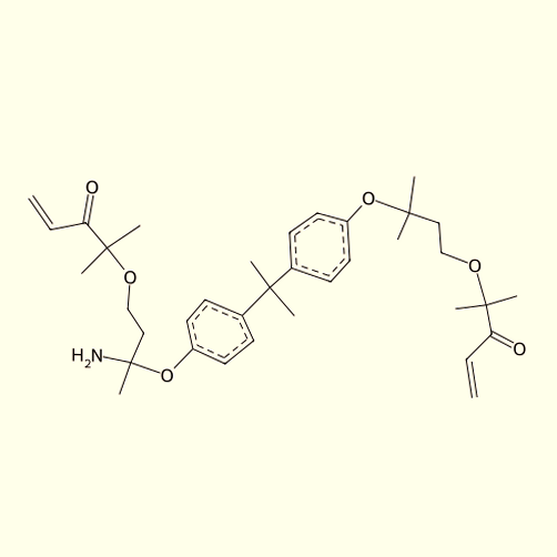 C=CC(=O)C(C)(C)OCCC(C)(C)Oc1ccc(C(C)(C)c2ccc(OC(C)(N)CCOC(C)(C)C(=O)C=C)cc2)cc1